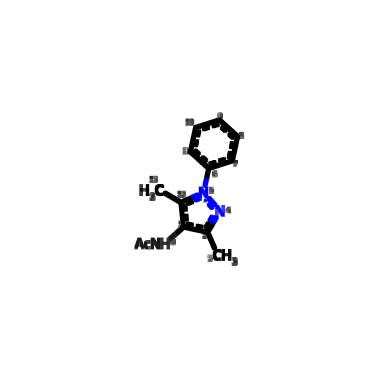 CC(=O)Nc1c(C)nn(-c2ccccc2)c1C